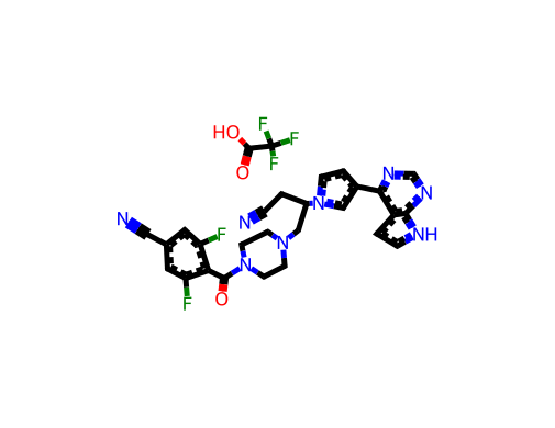 N#CCC(CN1CCN(C(=O)c2c(F)cc(C#N)cc2F)CC1)n1ccc(-c2ncnc3[nH]ccc23)c1.O=C(O)C(F)(F)F